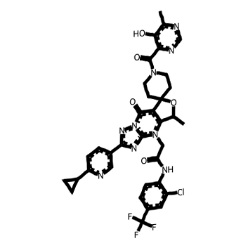 Cc1ncnc(C(=O)N2CCC3(CC2)OC(C)c2c3c(=O)n3nc(-c4ccc(C5CC5)nc4)nc3n2CC(=O)Nc2ccc(C(F)(F)F)cc2Cl)c1O